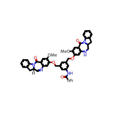 CCCC(=O)Nc1cc(COc2cc3c(cc2OC)C(=O)N2c4ccccc4C[C@H]2C=N3)cc(COc2cc3c(cc2OC)C(=O)N2c4ccccc4CC2CN3)c1